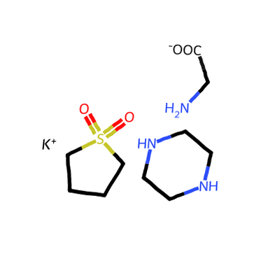 C1CNCCN1.NCC(=O)[O-].O=S1(=O)CCCC1.[K+]